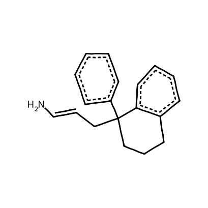 NC=CCC1(c2ccccc2)CCCc2ccccc21